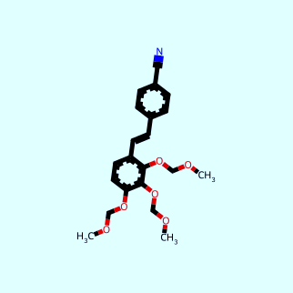 COCOc1ccc(C=Cc2ccc(C#N)cc2)c(OCOC)c1OCOC